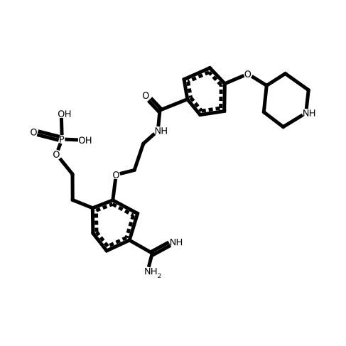 N=C(N)c1ccc(CCOP(=O)(O)O)c(OCCNC(=O)c2ccc(OC3CCNCC3)cc2)c1